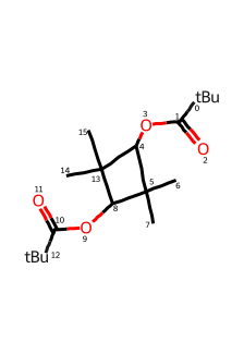 CC(C)(C)C(=O)OC1C(C)(C)C(OC(=O)C(C)(C)C)C1(C)C